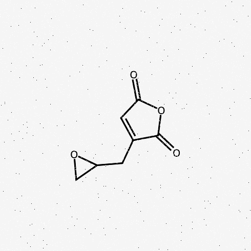 O=C1C=C(CC2CO2)C(=O)O1